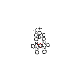 CC1(C)CCC(C)(C)c2c1cc1c3c2Oc2ccc(N4c5ccccc5N(c5ccccc5)c5ccccc54)cc2B3c2cc(N3c4ccccc4N(c4ccccc4)c4ccccc43)ccc2O1